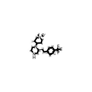 C[N+]1([O-])CCC(N2CCNC[C@@H]2CCc2ccc(C(F)(F)F)cc2)CC1